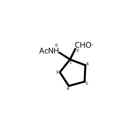 CC(=O)NC1([C]=O)CCCC1